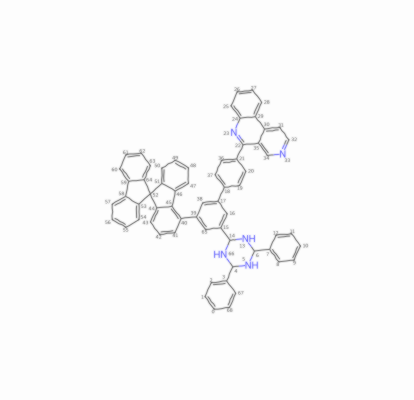 c1ccc(C2NC(c3ccccc3)NC(c3cc(-c4ccc(-c5nc6ccccc6c6ccncc56)cc4)cc(-c4cccc5c4-c4ccccc4C54c5ccccc5-c5ccccc54)c3)N2)cc1